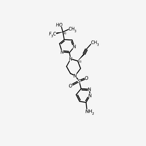 CC#C[C@H]1CN(S(=O)(=O)c2ccc(N)nn2)CCN1c1ncc([C@@](C)(O)C(F)(F)F)cn1